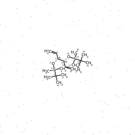 C=C[C@@H](O[Si](C)(C)C(C)(C)C)[C@@H](C=C)O[Si](C)(C)C(C)(C)C